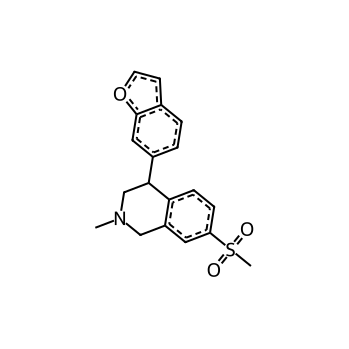 CN1Cc2cc(S(C)(=O)=O)ccc2C(c2ccc3ccoc3c2)C1